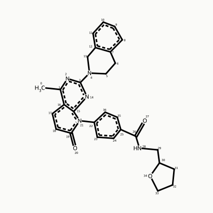 Cc1nc(N2CCc3ccccc3C2)nc2c1ccc(=O)n2-c1ccc(C(=O)NCC2CCCO2)cc1